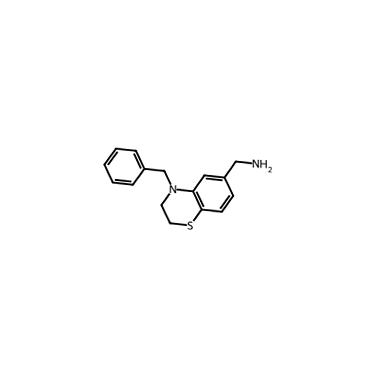 NCc1ccc2c(c1)N(Cc1ccccc1)CCS2